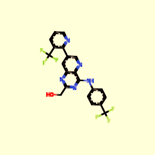 OCc1nc(Nc2ccc(C(F)(F)F)cc2)c2ncc(-c3ncccc3C(F)(F)F)cc2n1